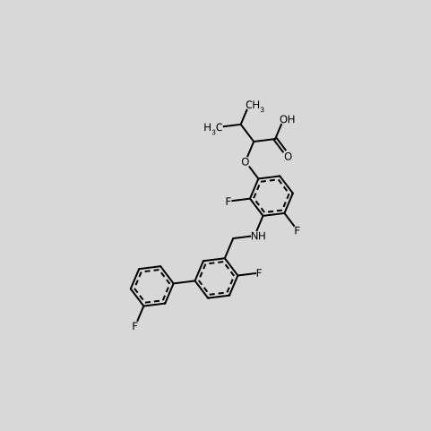 CC(C)C(Oc1ccc(F)c(NCc2cc(-c3cccc(F)c3)ccc2F)c1F)C(=O)O